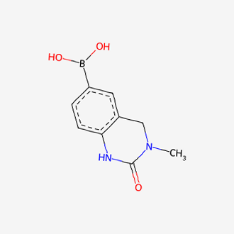 CN1Cc2cc(B(O)O)ccc2NC1=O